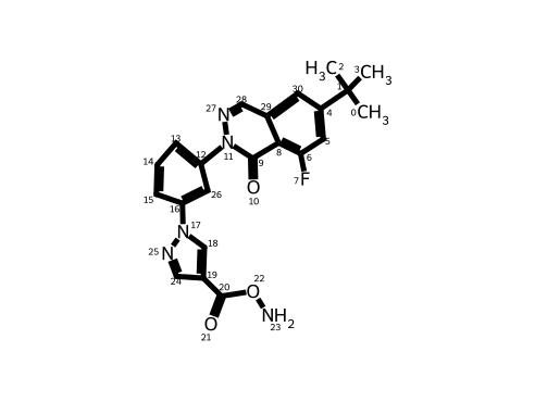 CC(C)(C)c1cc(F)c2c(=O)n(-c3cccc(-n4cc(C(=O)ON)cn4)c3)ncc2c1